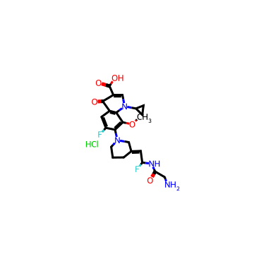 COc1c(N2CCCC(=CC(F)NC(=O)CN)C2)c(F)cc2c(=O)c(C(=O)O)cn(C3CC3)c12.Cl